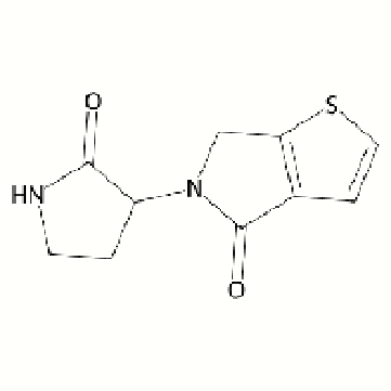 O=C1NCCC1N1Cc2sccc2C1=O